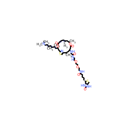 CC(/C=C/C(C)=C/C1Cc2nc(cs2)[C@@H](C)C[C@@H](NCC(=O)NCCOCCOCCNC(=O)CCCC[C@@H]2SCC3NC(=O)NC32)CC(=O)OC(C)C/C(C)=C/C=C\C(=O)O1)=C\CN(C)C